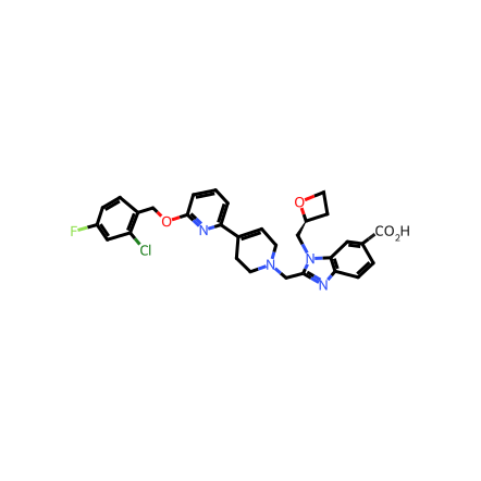 O=C(O)c1ccc2nc(CN3CC=C(c4cccc(OCc5ccc(F)cc5Cl)n4)CC3)n(C[C@@H]3CCO3)c2c1